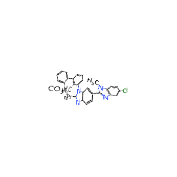 CCCc1nc2ccc(-c3nc4cc(Cl)ccc4n3C)cc2n1-c1cccc(-c2ccccc2C(=O)O)c1C